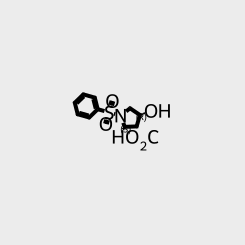 O=C(O)[C@@H]1C[C@@H](O)CN1S(=O)(=O)c1ccccc1